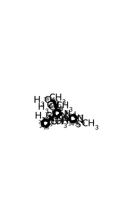 Cc1nc2cc3nn(-c4cc(C(C)(C)CC(C)(C)C)cc(C(C)(C)c5ccccc5)c4O)nc3cc2s1